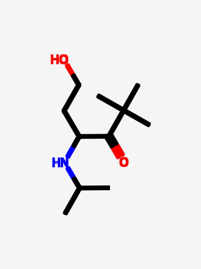 CC(C)NC(CCO)C(=O)C(C)(C)C